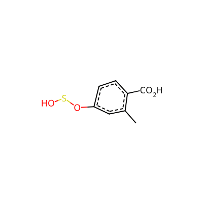 Cc1cc(OSO)ccc1C(=O)O